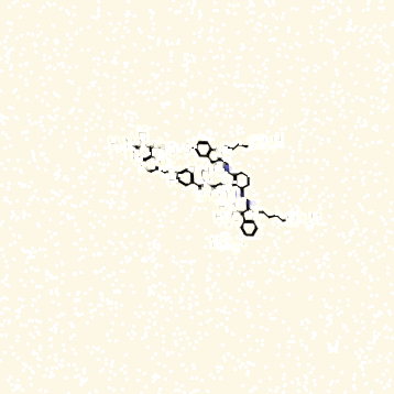 CC1(C)C(/C=C/C2=C(SC[C@H](NC(=O)c3ccc(NCc4cnc5nc(N)[nH]c(=O)c5n4)cc3)C(=O)O)C(=C/C=C3/N(CCCCS(=O)(=O)O)c4ccc(S(=O)(=O)O)cc4C3(C)C)/CCC2)=[N+](CCCCS(=O)(=O)O)c2ccc(S(=O)(=O)O)cc21